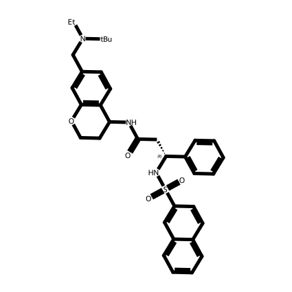 CCN(Cc1ccc2c(c1)OCCC2NC(=O)C[C@@H](NS(=O)(=O)c1ccc2ccccc2c1)c1ccccc1)C(C)(C)C